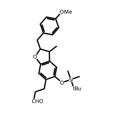 COc1ccc(CC2Oc3cc(CCC=O)c(O[Si](C)(C)C(C)(C)C)cc3C2C)cc1